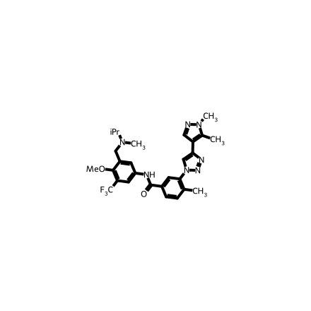 COc1c(CN(C)C(C)C)cc(NC(=O)c2ccc(C)c(-n3cc(-c4cnn(C)c4C)nn3)c2)cc1C(F)(F)F